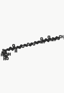 COCCCNC(=O)CCCC(=O)NCCCOCCOCCOCCCNC(=O)CCCC[C@@H]1SC[C@@H]2NC(=O)NC21